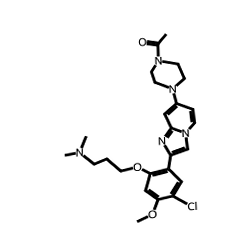 COc1cc(OCCCN(C)C)c(-c2cn3ccc(N4CCN(C(C)=O)CC4)cc3n2)cc1Cl